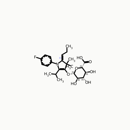 CC/C=C1/N(c2ccc(F)cc2)C(C(C)C)=C(O[C@@H]2O[C@H](C(=O)O)[C@@H](O)[C@H](O)[C@H]2O)C1(C)C